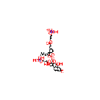 COc1cc(/C=C/C(=O)OCCCCON(O)O)ccc1OC(=O)OCC(=O)[C@@]1(OC(=O)CCCON(O)O)[C@H](O)CC2C3CCC4=CC(=O)C=CC4(C)[C@@]3(F)[C@@H](O)C[C@@]21C